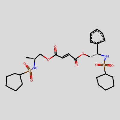 C[C@@H](COC(=O)/C=C/C(=O)OC[C@@H](NS(=O)(=O)C1CCCCC1)c1ccccc1)NS(=O)(=O)C1CCCCC1